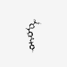 CC(C)(CNc1ccc(C(=O)N2CCC(C(N)=O)CC2)nn1)c1ccc(F)cc1